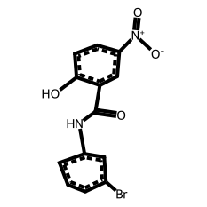 O=C(Nc1cccc(Br)c1)c1cc([N+](=O)[O-])ccc1O